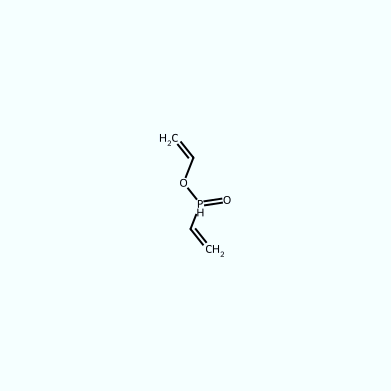 C=CO[PH](=O)C=C